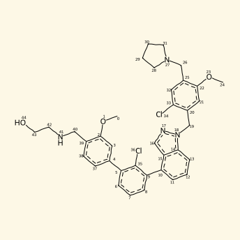 COc1cc(-c2cccc(-c3cccc4c3cnn4Cc3cc(OC)c(CN4CCCC4)cc3Cl)c2Cl)ccc1CNCCO